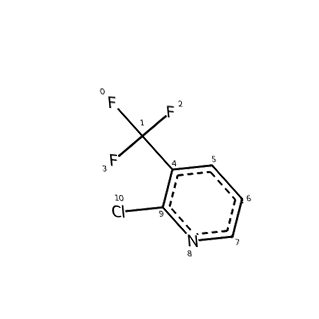 FC(F)(F)c1c[c]cnc1Cl